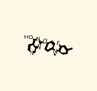 Cc1ccc(N(C)c2ccc(Oc3nc(O)c4ccncc4n3)cc2)c(F)c1